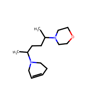 CC(CCC(C)N1CCOCC1)N1CC=CCC1